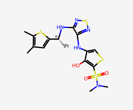 Cc1cc([C@H](Nc2nsnc2Nc2csc(S(=O)(=O)N(C)C)c2O)C(C)C)sc1C